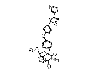 CCOCCC1(Oc2ccc(Oc3ccc(-c4nc(-c5cccnc5)no4)cc3)cc2)C(=O)NC(=O)NC1=O